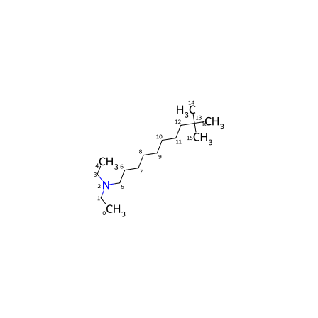 CCN(CC)CCCCCCCCC(C)(C)C